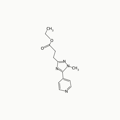 CCOC(=O)CCc1nc(-c2ccncc2)n(C)n1